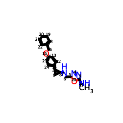 CNc1nnc(CNC2CC2c2ccc(OCc3ccccc3)cc2)o1